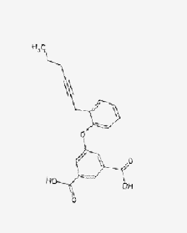 CCCC#CCc1ccccc1Oc1cc(C(=O)O)cc(C(=O)O)c1